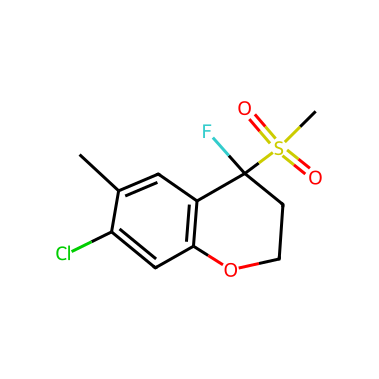 Cc1cc2c(cc1Cl)OCCC2(F)S(C)(=O)=O